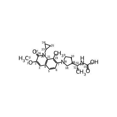 COc1cc2ccc(N3CC[C@@H]([C@H](C)NC(=O)O)C3)c(C)c2n(C2CC2)c1=O